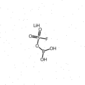 O=S(=O)(F)OB(O)O.[LiH]